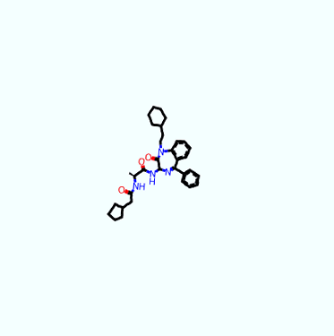 C[C@H](NC(=O)CC1CCCC1)C(=O)NC1N=C(c2ccccc2)c2ccccc2N(CCC2CCCCC2)C1=O